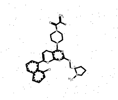 C=C(F)C(=O)N1CCN(c2nc(OC[C@@H]3CCCN3C)nc3c2CC=C(c2cccc4cccc(Cl)c24)O3)CC1